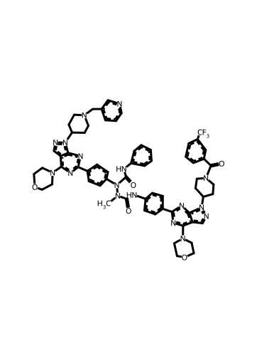 CN(C(=O)Nc1ccc(-c2nc(N3CCOCC3)c3cnn(C4CCN(C(=O)c5cccc(C(F)(F)F)c5)CC4)c3n2)cc1)N(C(=O)Nc1ccccc1)c1ccc(-c2nc(N3CCOCC3)c3cnn(C4CCN(Cc5cccnc5)CC4)c3n2)cc1